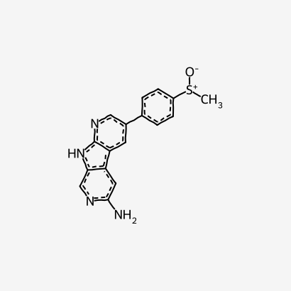 C[S+]([O-])c1ccc(-c2cnc3[nH]c4cnc(N)cc4c3c2)cc1